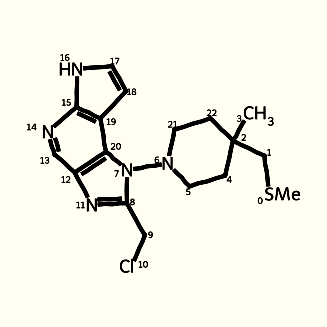 CSCC1(C)CCN(n2c(CCl)nc3cnc4[nH]ccc4c32)CC1